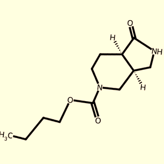 CCCCOC(=O)N1CC[C@H]2C(=O)NC[C@H]2C1